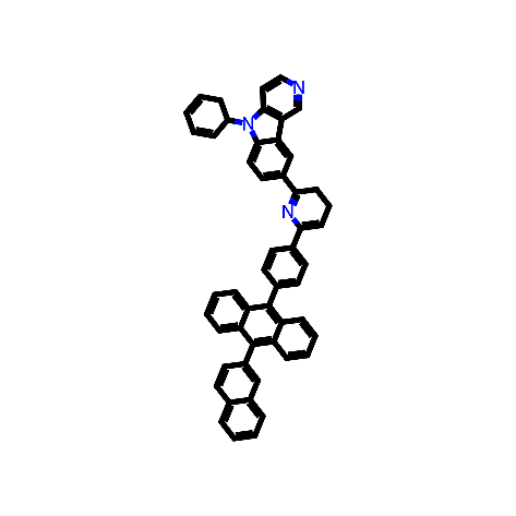 C1=CCC(n2c3ccncc3c3cc(C4=NC(c5ccc(-c6c7ccccc7c(-c7ccc8ccccc8c7)c7ccccc67)cc5)=CCC4)ccc32)C=C1